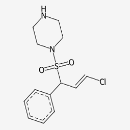 O=S(=O)(C(C=CCl)c1ccccc1)N1CCNCC1